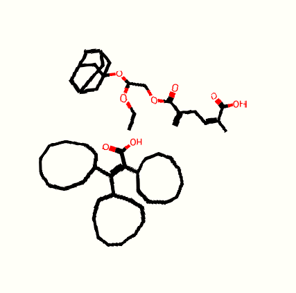 C=C(CC=C(C)C(=O)O)C(=O)OCC(OCC)OC12CC3CC(CC(C3)C1)C2.O=C(O)C(=C(C1CCCCCCCCC1)C1CCCCCCCCC1)C1CCCCCCCCC1